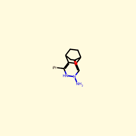 CC(C)C1=C2C(=CN(N)N1)C1CCC2CC1=O